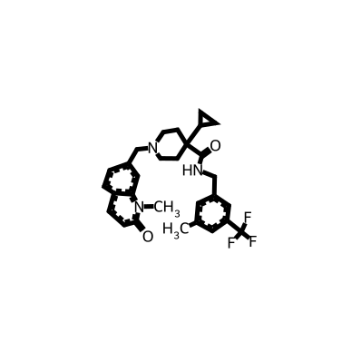 Cc1cc(CNC(=O)C2(C3CC3)CCN(Cc3ccc4ccc(=O)n(C)c4c3)CC2)cc(C(F)(F)F)c1